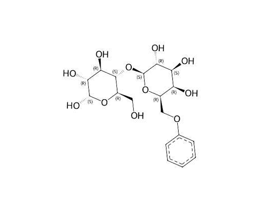 OC[C@H]1O[C@H](O)[C@H](O)[C@@H](O)[C@@H]1O[C@@H]1O[C@H](COc2ccccc2)[C@H](O)[C@H](O)[C@H]1O